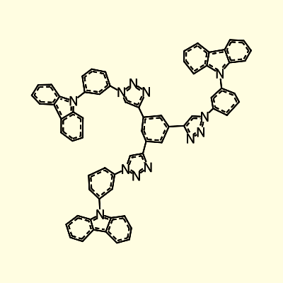 c1cc(-n2cc(-c3cc(-c4cn(-c5cccc(-n6c7ccccc7c7ccccc76)c5)nn4)cc(-c4cn(-c5cccc(-n6c7ccccc7c7ccccc76)c5)nn4)c3)nn2)cc(-n2c3ccccc3c3ccccc32)c1